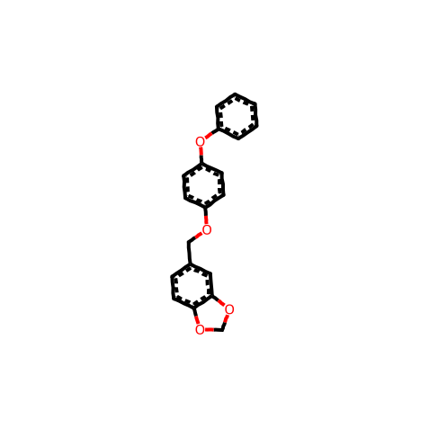 c1ccc(Oc2ccc(OCc3ccc4c(c3)OCO4)cc2)cc1